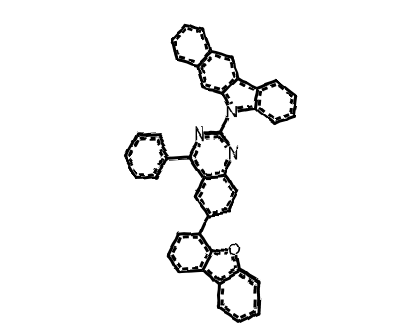 c1ccc(-c2nc(-n3c4ccccc4c4cc5ccccc5cc43)nc3ccc(-c4cccc5c4oc4ccccc45)cc23)cc1